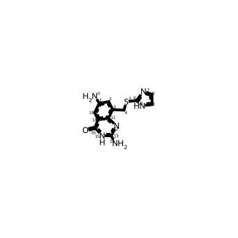 Nc1cc(CSc2ncc[nH]2)c2nc(N)[nH]c(=O)c2c1